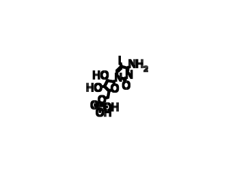 Nc1nc(=O)n([C@@H]2OC(COP(=O)(O)O)C(O)[C@H]2O)cc1I